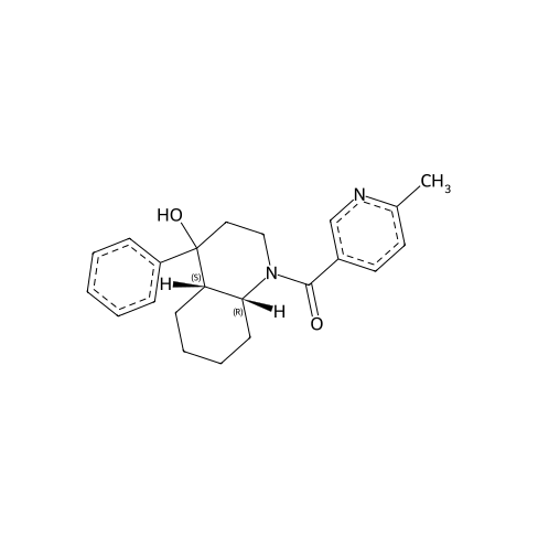 Cc1ccc(C(=O)N2CCC(O)(c3ccccc3)[C@H]3CCCC[C@H]32)cn1